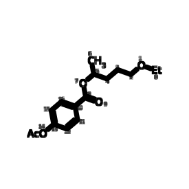 CCOCCCC(C)OC(=O)c1ccc(OC(C)=O)cc1